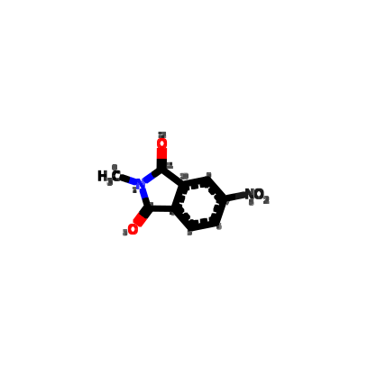 CN1C(=O)c2ccc([N+](=O)[O-])cc2C1=O